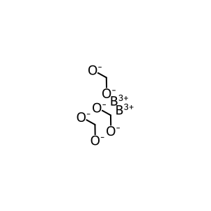 [B+3].[B+3].[O-]C[O-].[O-]C[O-].[O-]C[O-]